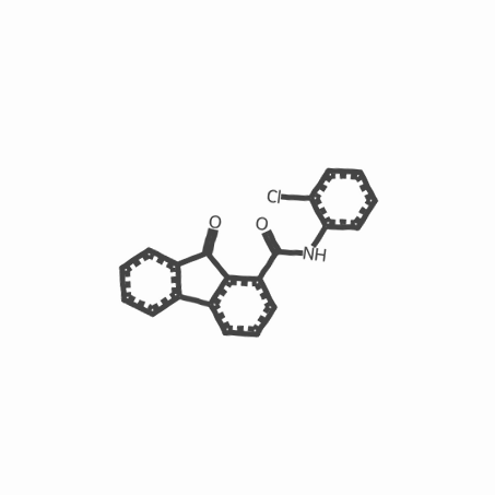 O=C(Nc1ccccc1Cl)c1cccc2c1C(=O)c1ccccc1-2